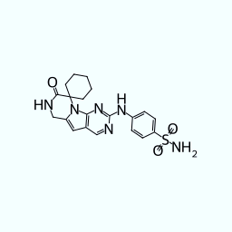 NS(=O)(=O)c1ccc(Nc2ncc3cc4n(c3n2)C2(CCCCC2)C(=O)NC4)cc1